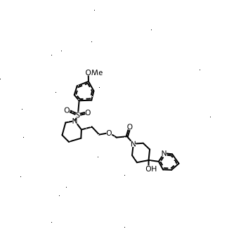 COc1ccc(S(=O)(=O)N2CCCCC2CCOCC(=O)N2CCC(O)(c3ccccn3)CC2)cc1